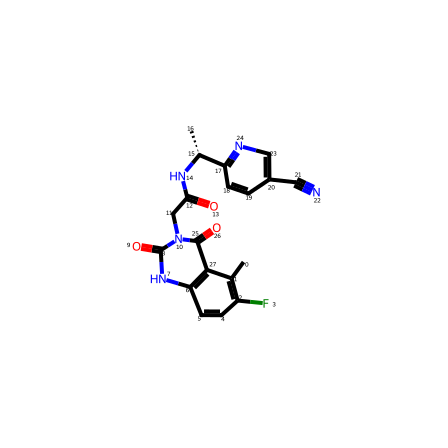 Cc1c(F)ccc2[nH]c(=O)n(CC(=O)N[C@H](C)c3ccc(C#N)cn3)c(=O)c12